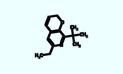 CCc1cc2c(c(C(C)(C)C)n1)OCC=C2